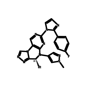 CC[C@@H]1c2nncn2-c2cnc(-n3ccnc3-c3ccc(F)cc3)nc2N1c1cnn(C)c1